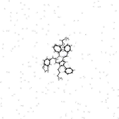 CCCCn1c(-c2ccccc2)nc(/C=C/c2ccccc2)c1CN(Cc1cccc(OCC)c1)Cc1ccc2c(c1)OCO2